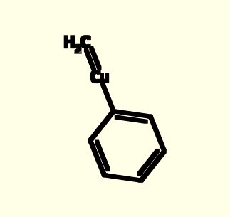 [CH2]=[Cu][c]1ccccc1